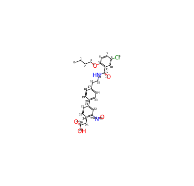 CCCCOc1ccc(Cl)cc1C(=O)NCCc1ccc(-c2ccc(CC(=O)O)c(N=O)c2)cc1